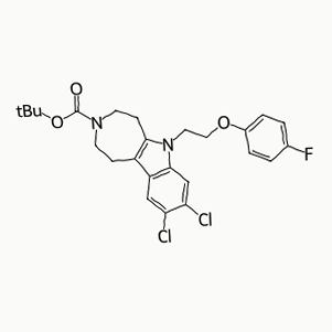 CC(C)(C)OC(=O)N1CCc2c(n(CCOc3ccc(F)cc3)c3cc(Cl)c(Cl)cc23)CC1